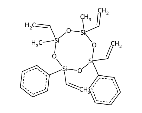 C=C[Si]1(C)O[Si](C)(C=C)O[Si](C=C)(c2ccccc2)O[Si](C=C)(c2ccccc2)O1